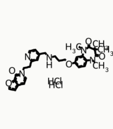 CN1C(=O)C(C)(C)C(=O)N(C)c2cc(OCCCNCc3ccnc(CCn4ccc5ccoc5c4=O)c3)ccc21.Cl.Cl